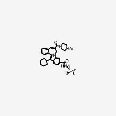 CC(=O)N1CCN(C(=O)C2=Cc3ccccc3-c3c(C4CCCCC4)c4ccc(C(=O)NOS(=O)N(C)C)cc4n3C2)CC1